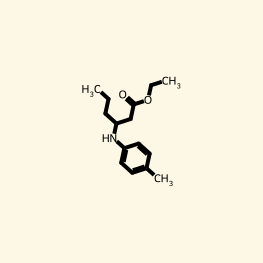 CCCC(CC(=O)OCC)Nc1ccc(C)cc1